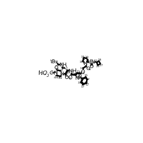 CC(C)(C)C(=O)NCC[C@H](NC(=O)c1cc(OCC(=O)N2CCC[C@H]2C(=O)NC2CCC2)n(-c2ccccc2)n1)C(=O)N1CCN(C(=O)O)CC1